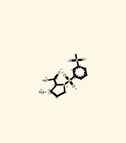 CS(=O)(=O)c1cccc(S(=O)(=O)N2CC[C@H](O)C2C(=O)O)c1